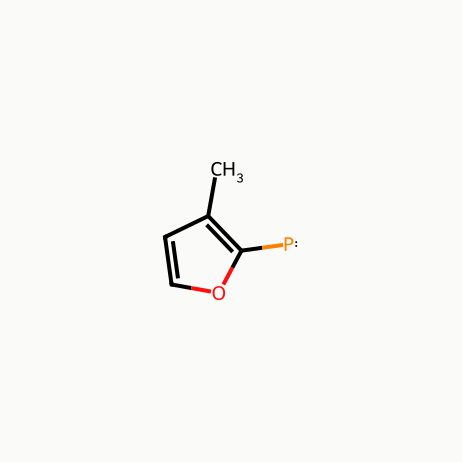 Cc1ccoc1[P]